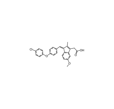 COc1ccc2c(c1)C(CC(=O)O)=C(C)/C2=C/c1ccc(Oc2ccc(Cl)cc2)cc1